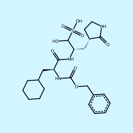 O=C(N[C@@H](CC1CCCCC1)C(=O)N[C@@H](C[C@@H]1CCNC1=O)C(O)S(=O)(=O)O)OCc1ccccc1